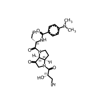 CC(C)C[C@H](NC(=O)c1ccc(N(C)C)cc1)C(=O)N1CC[C@@H]2[C@H]1C(=O)CN2C(=O)[C@@H](O)CC(C)C